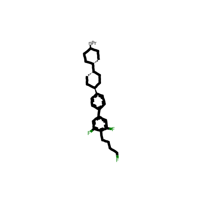 CCC[C@H]1CC[C@H]([C@H]2CC[C@H](c3ccc(-c4cc(F)c(CCCCF)c(F)c4)cc3)CC2)CC1